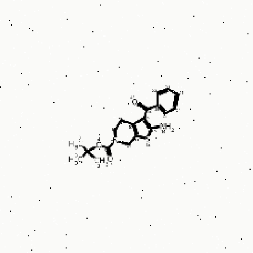 CC(C)(C)OC(=O)N1CCc2c(sc(N)c2C(=O)c2ccccc2)C1